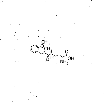 COc1ccccc1CN(C)C(=O)NCCC(N)C(=O)O